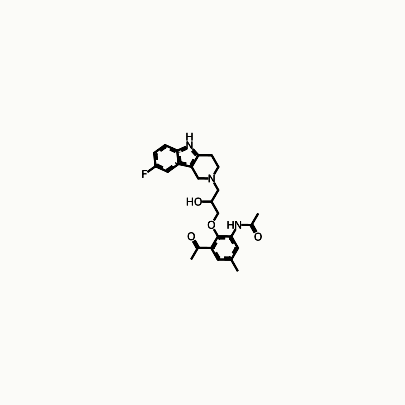 CC(=O)Nc1cc(C)cc(C(C)=O)c1OCC(O)CN1CCc2[nH]c3ccc(F)cc3c2C1